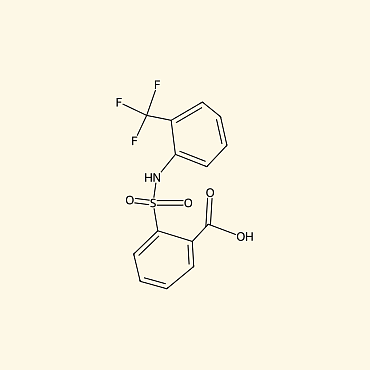 O=C(O)c1ccccc1S(=O)(=O)Nc1ccccc1C(F)(F)F